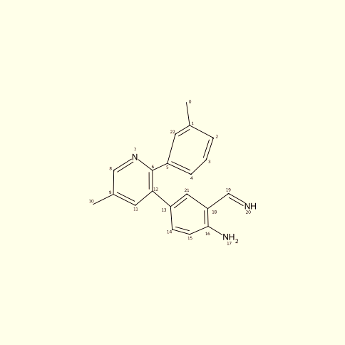 Cc1cccc(-c2ncc(C)cc2-c2ccc(N)c(C=N)c2)c1